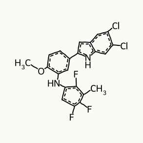 COc1ccc(-c2cc3cc(Cl)c(Cl)cc3[nH]2)cc1Nc1cc(F)c(F)c(C)c1F